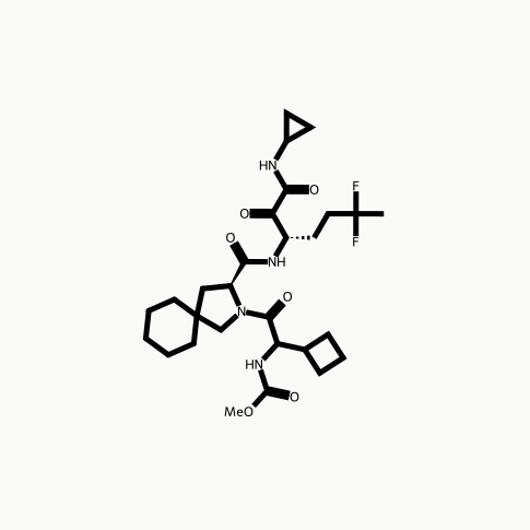 COC(=O)NC(C(=O)N1CC2(CCCCC2)C[C@H]1C(=O)N[C@@H](CCC(C)(F)F)C(=O)C(=O)NC1CC1)C1CCC1